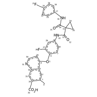 Cc1cc2c(Oc3ccc(NC(=O)C4(C(=O)Nc5ccc(F)cc5)CC4)cc3F)ccnc2cc1C(=O)O